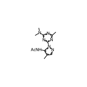 CC(=O)Nc1c(C)cnn1-c1nc(C)nc(N(C)C)n1